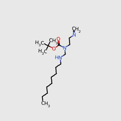 C=NCCN(CNCCCCCCCCC)C(=O)OC(C)(C)C